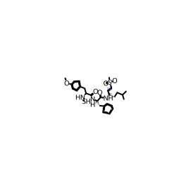 COc1ccc(CC(NS)C(=O)N[C@@H](Cc2ccccc2)C(=O)N[C@H](/C=C/S(C)(=O)=O)CCC(C)C)cc1